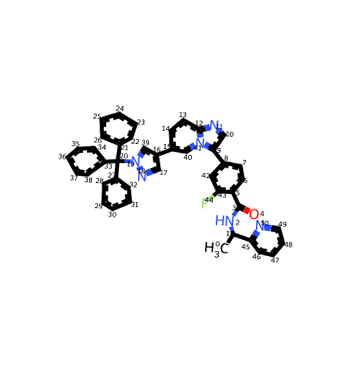 CC(NC(=O)c1ccc(-c2cnc3ccc(-c4cnn(C(c5ccccc5)(c5ccccc5)c5ccccc5)c4)cn23)cc1F)c1ccccn1